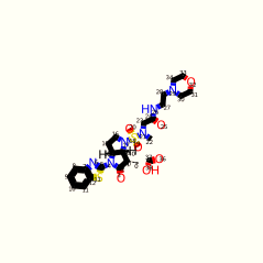 C[C@@H]1C(=O)N(c2nc3ccccc3s2)[C@H]2CCN(S(=O)(=O)N(C)CC(=O)NCCN3CCOCC3)[C@H]12.O=CO